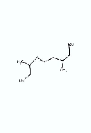 CC(C[P]CC(C)CC(C)(C)C)CC(C)(C)C